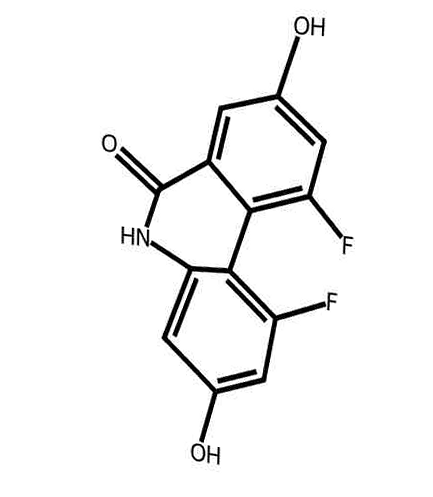 O=c1[nH]c2cc(O)cc(F)c2c2c(F)cc(O)cc12